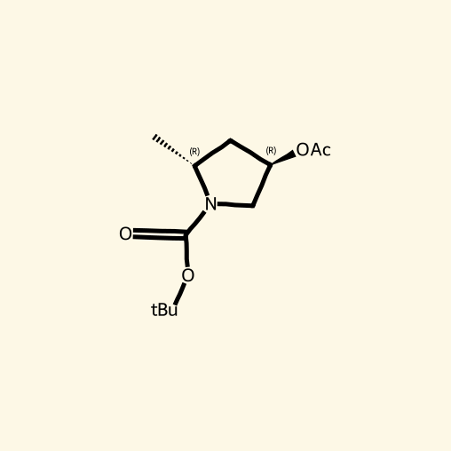 CC(=O)O[C@@H]1C[C@@H](C)N(C(=O)OC(C)(C)C)C1